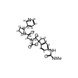 CNC(=O)Nc1ccc2c(c1)CCC21OC(=O)N(CC(=O)N2CCC[C@H]2c2cccnc2)C1=O